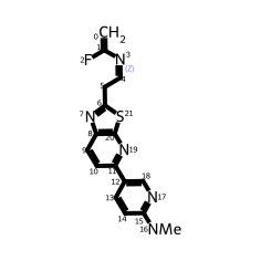 C=C(F)/N=C\Cc1nc2ccc(-c3ccc(NC)nc3)nc2s1